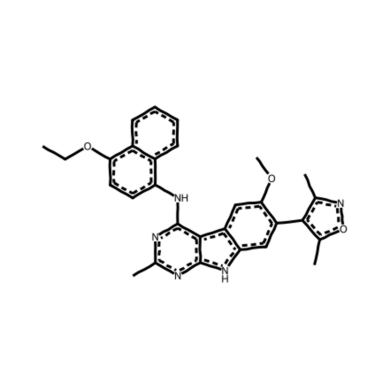 CCOc1ccc(Nc2nc(C)nc3[nH]c4cc(-c5c(C)noc5C)c(OC)cc4c23)c2ccccc12